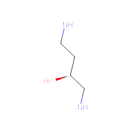 NCC[C@H](O)CN